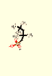 CC(C)(C)CC(C)(C)CS(=O)(=O)O